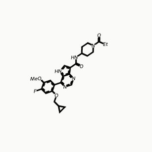 CCC(=O)N1CCC(NC(=O)c2c[nH]c3c(-c4cc(OC)c(F)cc4OCC4CC4)ncnc23)CC1